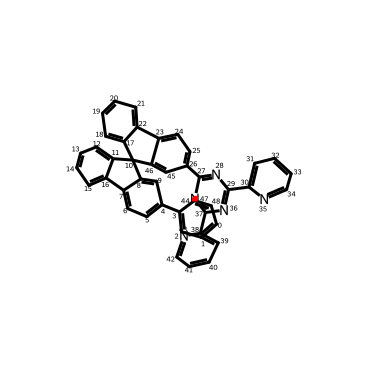 c1ccc(-c2ccc3c(c2)C2(c4ccccc4-3)c3ccccc3-c3ccc(-c4nc(-c5ccccn5)nc(-c5ccccn5)n4)cc32)cc1